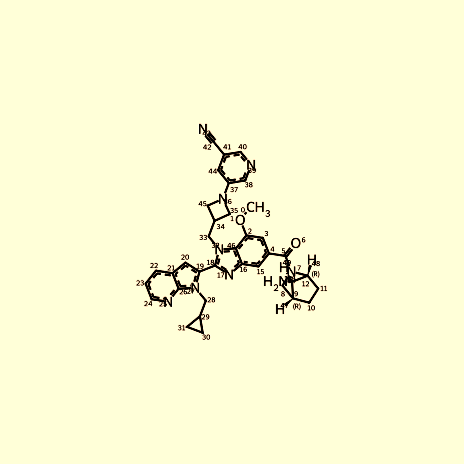 COc1cc(C(=O)N2C[C@H]3CC[C@@H]2[C@@H]3N)cc2nc(-c3cc4cccnc4n3CC3CC3)n(CC3CN(c4cncc(C#N)c4)C3)c12